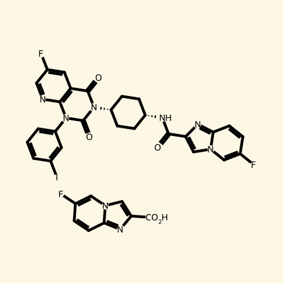 O=C(N[C@H]1CC[C@@H](n2c(=O)c3cc(F)cnc3n(-c3cccc(I)c3)c2=O)CC1)c1cn2cc(F)ccc2n1.O=C(O)c1cn2cc(F)ccc2n1